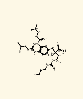 CCCCOC(=O)O[C@@H](C)CC(N)(Cc1ccc(OC(=O)CCC(C)C)c(OC(=O)CCC(C)C)c1)C(=O)O